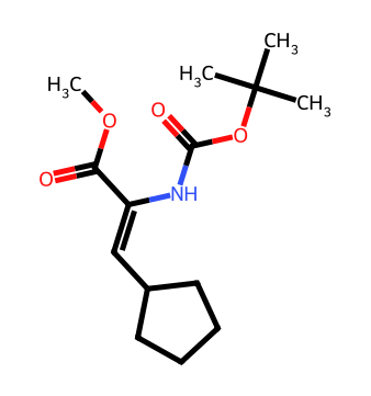 COC(=O)C(=CC1CCCC1)NC(=O)OC(C)(C)C